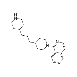 c1ccc2c(N3CCC(CCCC4CCNCC4)CC3)nccc2c1